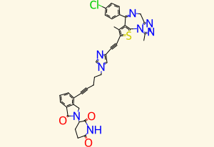 Cc1c(C#Cc2cn(CCCC#Cc3cccc4c3CN(C3CCC(=O)NC3=O)C4=O)cn2)sc2c1C(c1ccc(Cl)cc1)=NCc1nnc(C)n1-2